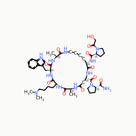 C[C@@H]1NC(=O)C[C@@H](C(=O)N2CCC[C@H]2C(N)=O)NC(=O)[C@@H](NC(=O)[C@@H]2CCCN2C(=O)CO)CCCCNC(=O)[C@H](C)NC(=O)[C@H](Cc2c[nH]c3ccccc23)NC(=O)C(CCCCN(C)C)NC1=O